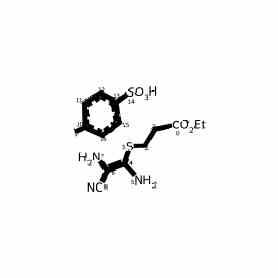 CCOC(=O)CCS/C(N)=C(\N)C#N.Cc1ccc(S(=O)(=O)O)cc1